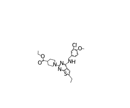 CCOC(=O)C1CCN(c2nc(NCc3ccc(OC)c(Cl)c3)c3cc(CC)sc3n2)CC1